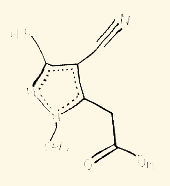 Cc1nn(C)c(CC(=O)O)c1C#N